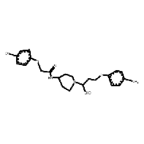 CCc1ccc(OCC(=O)NC2CCN(C(C=O)CCOc3ccc(C)cc3)CC2)cc1